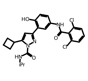 CC(C)NC(=O)n1nc(-c2cc(NC(=O)c3c(Cl)cccc3Cl)ccc2O)cc1C1CCC1